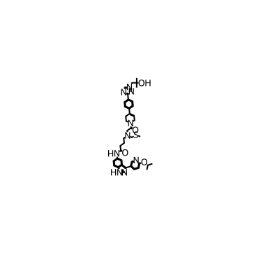 CSCN(CCCC(=O)Nc1ccc2[nH]nc(-c3ccc(OC(C)C)nc3)c2c1)CC(=O)N1CC=C(c2ccc(-c3ncn(CC(C)(C)O)n3)cc2)CC1